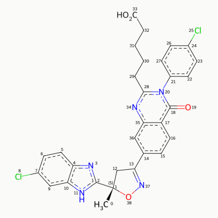 C[C@@]1(c2nc3ccc(Cl)cc3[nH]2)CC(c2ccc3c(=O)n(-c4ccc(Cl)cc4)c(CCCCC(=O)O)nc3c2)=NO1